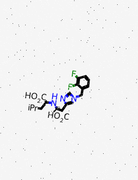 CC(C)CC(N[C@@H](Cc1cn(Cc2cccc(F)c2F)cn1)C(=O)O)C(=O)O